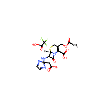 CC(=O)OCC1=C(C(=O)O)N2C(=O)C(NC3(CC(=O)O)N=CC=N3)[C@@H]2SC1.O=C(O)C(F)(F)F